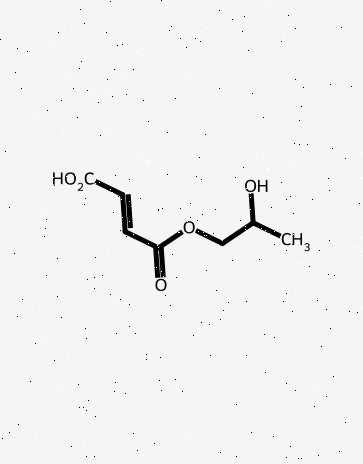 CC(O)COC(=O)C=CC(=O)O